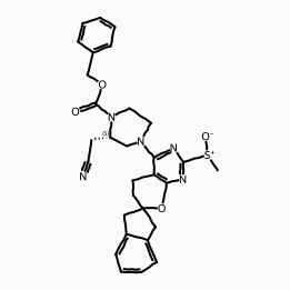 C[S+]([O-])c1nc2c(c(N3CCN(C(=O)OCc4ccccc4)[C@@H](CC#N)C3)n1)CCC1(Cc3ccccc3C1)O2